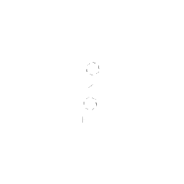 Cc1ccc(C=Cc2ccc(C(F)(F)F)cc2)cc1